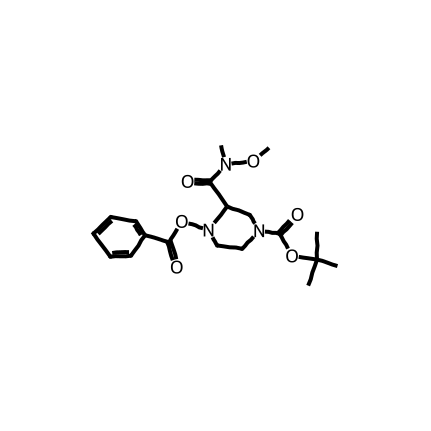 CON(C)C(=O)C1CN(C(=O)OC(C)(C)C)CCN1OC(=O)c1ccccc1